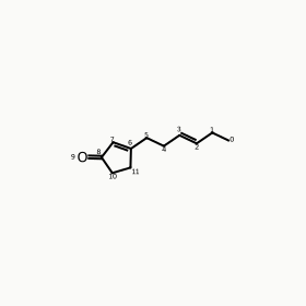 CCC=CCCC1=CC(=O)CC1